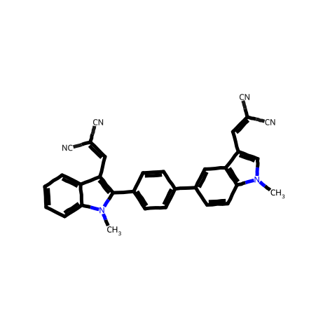 Cn1cc(C=C(C#N)C#N)c2cc(-c3ccc(-c4c(C=C(C#N)C#N)c5ccccc5n4C)cc3)ccc21